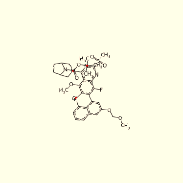 COCOc1cc(-c2c(Cl)c(OC)c3c(N4CC5CCC(C4)N5C(=O)OC(C)(C)C)nc(S(C)(=O)=O)nc3c2F)c2c(F)cccc2c1